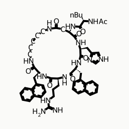 CCCC[C@H](NC(C)=O)C(=O)N[C@H]1CC(=O)NCCCCCNC(=O)[C@H](Cc2cccc3ccccc23)NC(=O)[C@H](CCCNC(=N)N)NC(=O)[C@@H](Cc2cccc3ccccc23)NC(=O)[C@H](Cc2c[nH]cn2)NC1=O